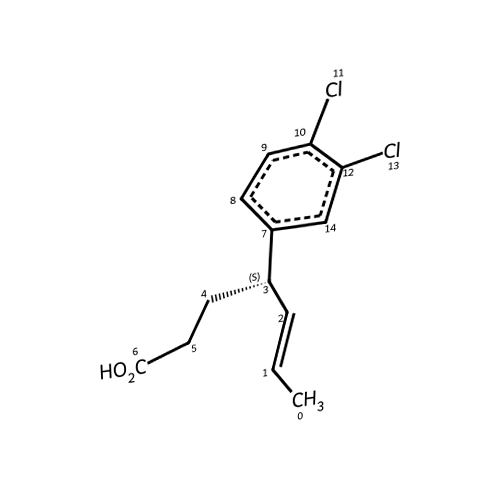 CC=C[C@H](CCC(=O)O)c1ccc(Cl)c(Cl)c1